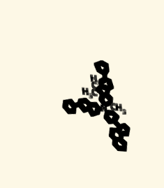 CC1C=C2C(=CC1N(c1ccc(-c3cccc4c3ccc3ccccc34)cc1)c1ccc3cc(-c4ccccc4)ccc3c1)C(C)(C)c1cc(-c3ccccc3)ccc12